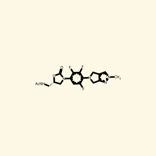 CC(=O)NC[C@H]1CN(c2cc(F)c(N3Cc4cn(C)nc4C3)c(F)c2F)C(=O)O1